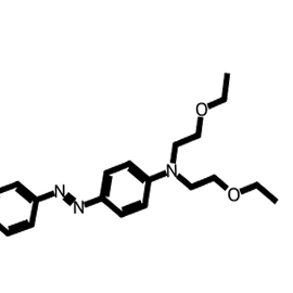 CCOCCN(CCOCC)c1ccc(N=Nc2ccccc2)cc1